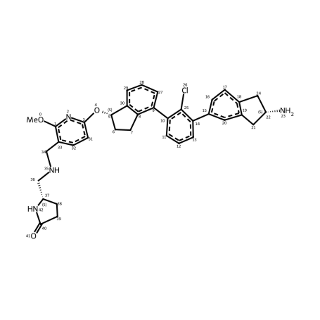 COc1nc(O[C@H]2CCc3c(-c4cccc(-c5ccc6c(c5)C[C@@H](N)C6)c4Cl)cccc32)ccc1CNC[C@@H]1CCC(=O)N1